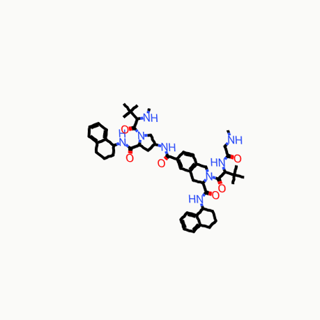 CNCC(=O)NC(C(=O)N1Cc2ccc(C(=O)NC3CC(C(=O)NC4CCCc5ccccc54)N(C(=O)C(NC)C(C)(C)C)C3)cc2CC1C(=O)NC1CCCc2ccccc21)C(C)(C)C